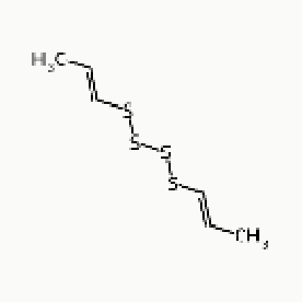 CC=CSSSSC=CC